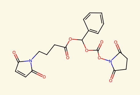 O=C(CCCN1C(=O)C=CC1=O)OC(OC(=O)ON1C(=O)CCC1=O)c1ccccc1